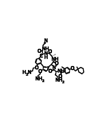 Cc1cc(OCC2(C)CCCCC2)ccc1C(=O)N[C@@H](CCN)C(=O)N(C)[C@@H]1C(=O)N[C@@H](C)C(=O)N[C@H](C(=O)NCC#N)Cc2ccc(OCCN)c(c2)-c2cc1ccc2OCCN